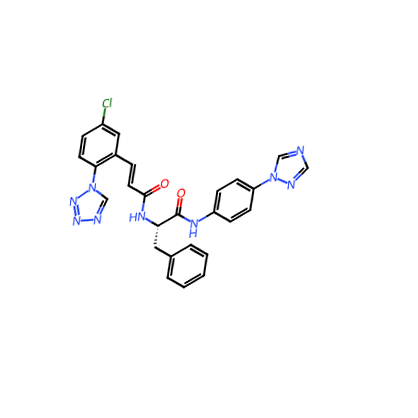 O=C(/C=C/c1cc(Cl)ccc1-n1cnnn1)N[C@@H](Cc1ccccc1)C(=O)Nc1ccc(-n2cncn2)cc1